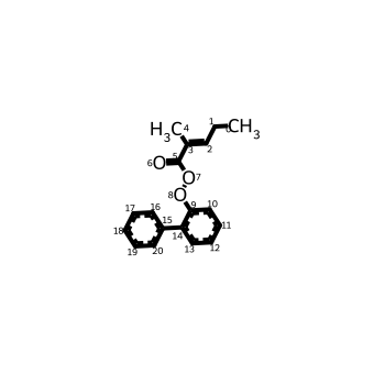 CCC=C(C)C(=O)OOc1ccccc1-c1ccccc1